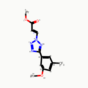 CC(C)OC(=O)/C=C/n1nnc(-c2cc(OC(C)C)cc(C(F)(F)F)c2)n1